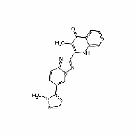 Cc1c(-c2nc3ccc(-c4ccnn4C)cn3n2)[nH]c2ccccc2c1=O